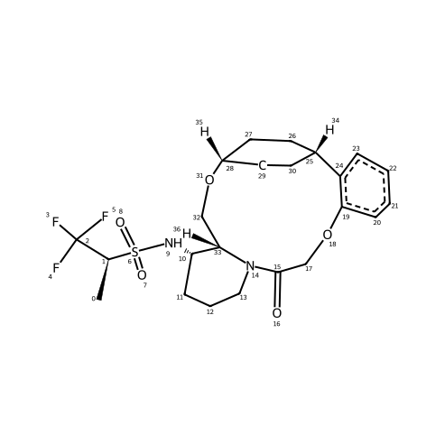 C[C@@H](C(F)(F)F)S(=O)(=O)N[C@H]1CCCN2C(=O)COc3ccccc3[C@H]3CC[C@H](CC3)OC[C@@H]12